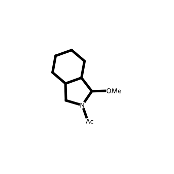 COC1C2CCCCC2CN1C(C)=O